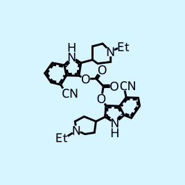 CCN1CCC(c2[nH]c3cccc(C#N)c3c2OC(=O)C(=O)Oc2c(C3CCN(CC)CC3)[nH]c3cccc(C#N)c23)CC1